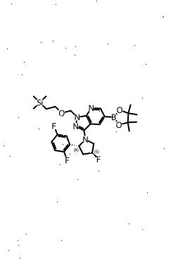 CC1(C)OB(c2cnc3c(c2)c(N2C[C@@H](F)C[C@@H]2c2cc(F)ccc2F)nn3COCC[Si](C)(C)C)OC1(C)C